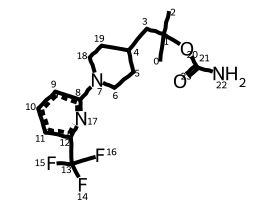 CC(C)(CC1CCN(c2cccc(C(F)(F)F)n2)CC1)OC(N)=O